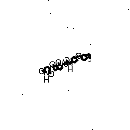 COc1c(COC(=O)Nc2ccc(Oc3ccc4sccc4c3)cc2)ccc2c1C(=O)N(C1CCC(=O)NC1=O)C2